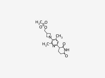 Cc1cc(C2CCC(=O)NC2=O)nc(C)c1N1CC(COS(C)(=O)=O)C1